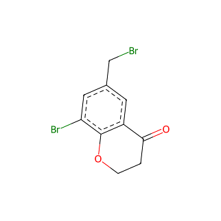 O=C1CCOc2c(Br)cc(CBr)cc21